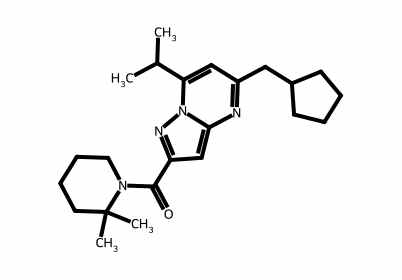 CC(C)c1cc(CC2CCCC2)nc2cc(C(=O)N3CCCCC3(C)C)nn12